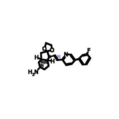 N[C@@H]1CC[C@@H]2[C@H](C1)CC1(OCCO1)[C@H]2/C=C/c1ccc(-c2cccc(F)c2)cn1